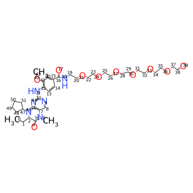 CCC1C(=O)N(C)c2cnc(Nc3ccc(C(=O)NCCOCCOCCOCCOCCOCCOCC=O)cc3OC)nc2N1C1CCCC1